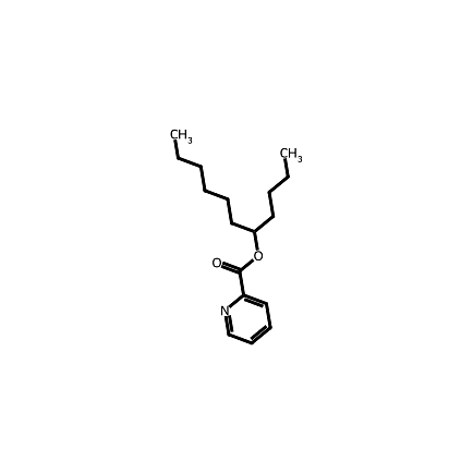 CCCCCCC(CCCC)OC(=O)c1ccccn1